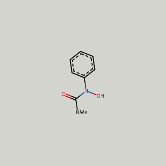 CNC(=O)N(O)c1ccccc1